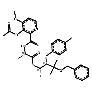 COc1ccnc(C(=O)N[C@@H](C)C(=O)O[C@@H](C)[C@H](Cc2ccc(F)cc2)C(C)(C)OCc2ccccc2)c1OC(C)=O